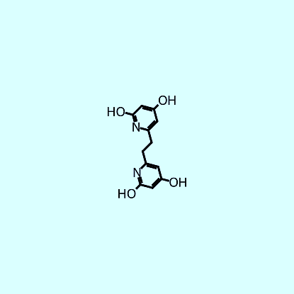 Oc1cc(O)nc(CCc2cc(O)cc(O)n2)c1